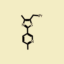 Cc1ccc(-c2nc(C)c(CC(C)C)s2)cn1